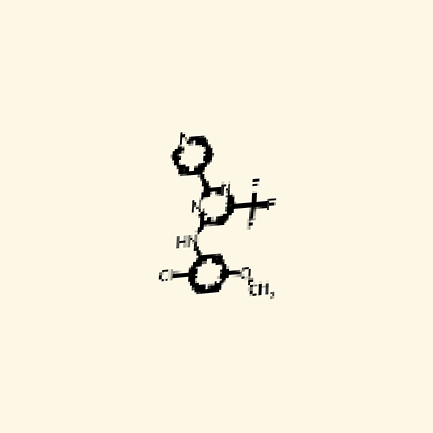 COc1ccc(Cl)c(Nc2cc(C(F)(F)F)nc(-c3ccncc3)n2)c1